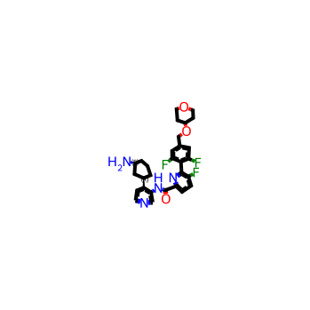 N[C@H]1CCC[C@@H](c2ccncc2NC(=O)c2ccc(F)c(-c3c(F)cc(COC4CCOCC4)cc3F)n2)C1